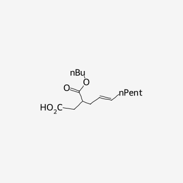 CCCCCC=CCC(CC(=O)O)C(=O)OCCCC